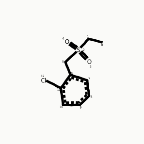 CCS(=O)(=O)Cc1ccccc1Cl